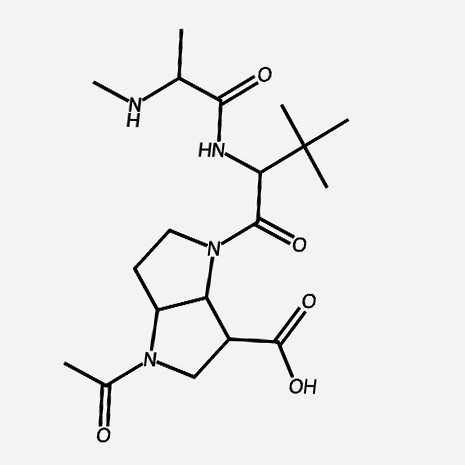 CNC(C)C(=O)NC(C(=O)N1CCC2C1C(C(=O)O)CN2C(C)=O)C(C)(C)C